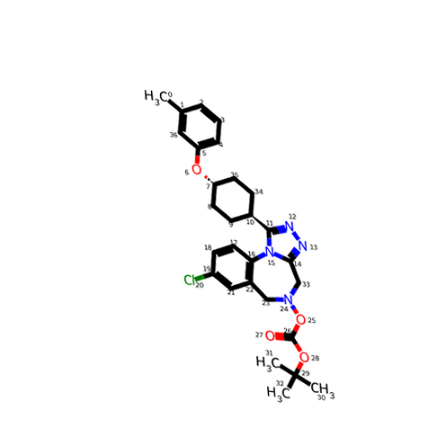 Cc1cccc(O[C@H]2CC[C@H](c3nnc4n3-c3ccc(Cl)cc3CN(OC(=O)OC(C)(C)C)C4)CC2)c1